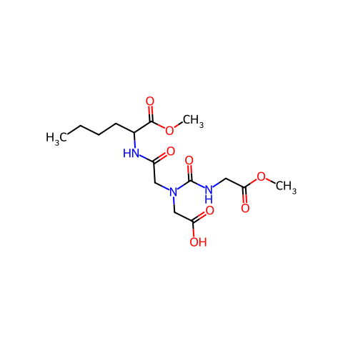 CCCCC(NC(=O)CN(CC(=O)O)C(=O)NCC(=O)OC)C(=O)OC